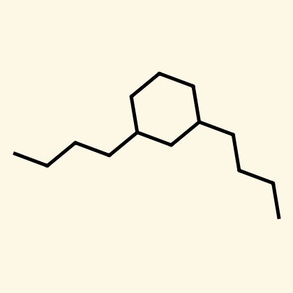 CCCCC1CCCC(CCCC)C1